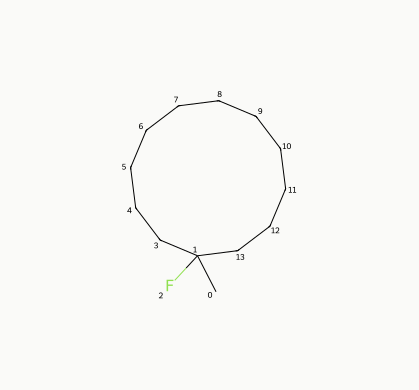 CC1(F)CCCCCCCCCCC1